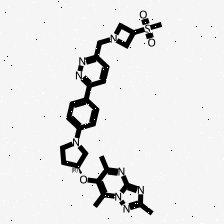 Cc1nc2nc(C)c(O[C@@H]3CCN(c4ccc(-c5ccc(CN6CC(S(C)(=O)=O)C6)nn5)cc4)C3)c(C)n2n1